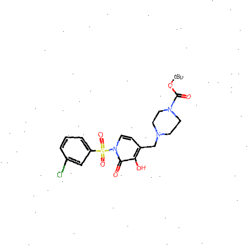 CC(C)(C)OC(=O)N1CCN(Cc2ccn(S(=O)(=O)c3cccc(Cl)c3)c(=O)c2O)CC1